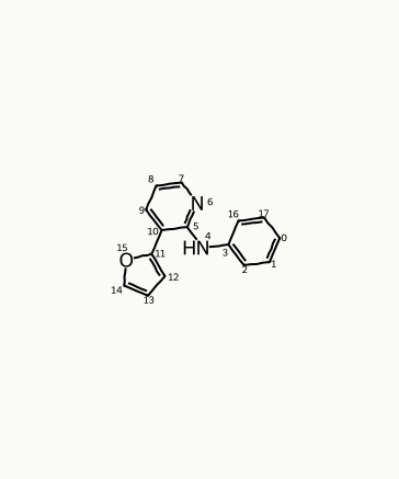 c1ccc(Nc2ncccc2-c2ccco2)cc1